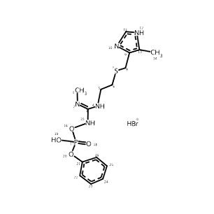 Br.CN=C(NCCSCc1nc[nH]c1C)NOP(=O)(O)Oc1ccccc1